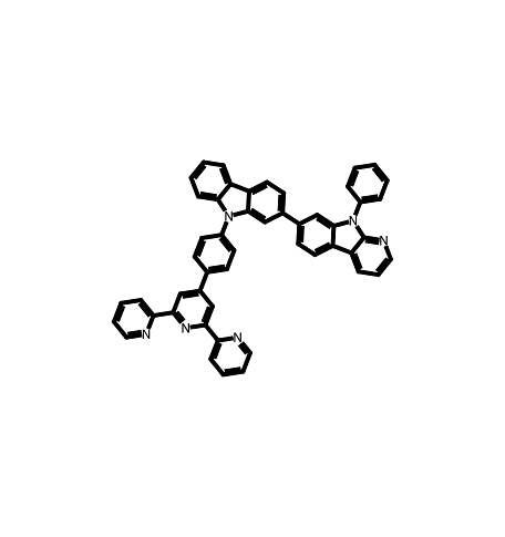 c1ccc(-n2c3cc(-c4ccc5c6ccccc6n(-c6ccc(-c7cc(-c8ccccn8)nc(-c8ccccn8)c7)cc6)c5c4)ccc3c3cccnc32)cc1